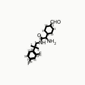 CC(C)(CNC(=O)C(N)C1CCC(C=O)CC1)c1ccc(F)cc1F